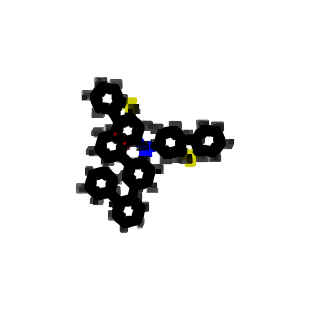 c1ccc(-c2ccccc2-c2ccc(N(c3ccc4c(c3)sc3ccccc34)c3ccc4c(c3)sc3ccccc34)c(-c3ccccc3)c2)cc1